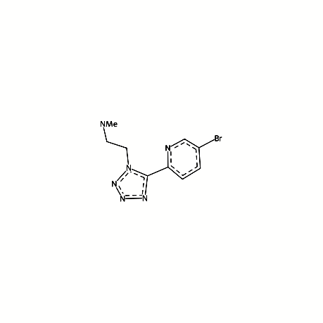 CNCCn1nnnc1-c1ccc(Br)cn1